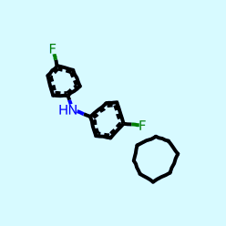 C1CCCCCCC1.Fc1ccc(Nc2ccc(F)cc2)cc1